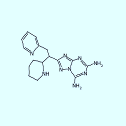 Nc1nc(N)n2nc(C(Cc3ccccn3)C3CCCCN3)nc2n1